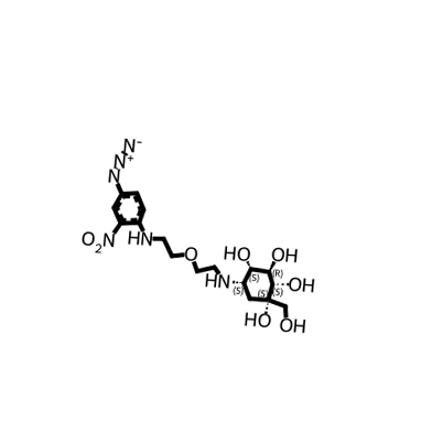 [N-]=[N+]=Nc1ccc(NCCOCCN[C@H]2C[C@](O)(CO)[C@@H](O)[C@H](O)[C@H]2O)c([N+](=O)[O-])c1